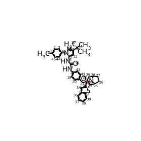 Cc1ccc(-n2nc(C(C)(C)C)cc2NC(=O)Nc2ccc(CC3CC4CCC(C3)N4C(=O)c3cc4ccccc4s3)cc2)cc1